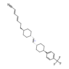 N#CC=CC=CCC[C@H]1CC[C@H](/C=C/[C@H]2CC[C@H](c3ccc(C(F)(F)F)cc3)CC2)CC1